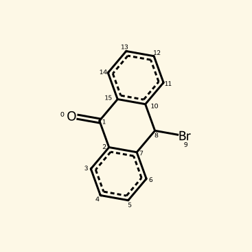 O=C1c2ccccc2C(Br)c2ccccc21